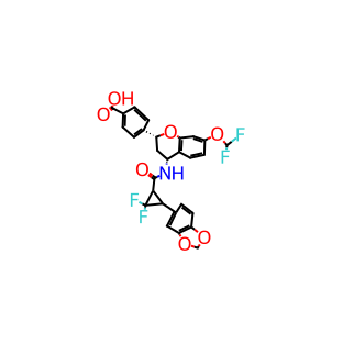 O=C(O)c1ccc([C@H]2C[C@@H](NC(=O)C3C(c4ccc5c(c4)OCO5)C3(F)F)c3ccc(OC(F)F)cc3O2)cc1